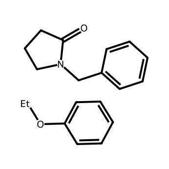 CCOc1ccccc1.O=C1CCCN1Cc1ccccc1